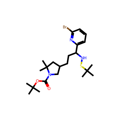 CC(C)(C)OC(=O)N1CC(CCC(NSC(C)(C)C)c2cccc(Br)n2)CC1(C)C